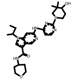 CCC(C)n1cc(C(=O)NC2CCOCC2)c2cnc(Nc3ccnc(N4CCC(O)C(C)(C)C4)n3)cc21